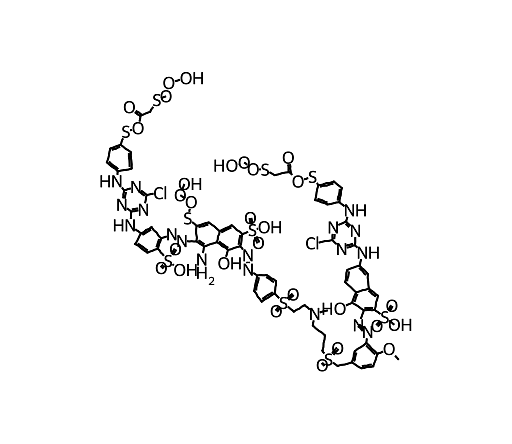 COc1ccc(CS(=O)(=O)CCCN(C)CCS(=O)(=O)c2ccc(N=Nc3c(S(=O)(=O)O)cc4cc(SOOO)c(N=Nc5cc(Nc6nc(Cl)nc(Nc7ccc(SOC(=O)CSOOO)cc7)n6)ccc5S(=O)(=O)O)c(N)c4c3O)cc2)cc1N=Nc1c(S(=O)(=O)O)cc2cc(Nc3nc(Cl)nc(Nc4ccc(SOC(=O)CSOOO)cc4)n3)ccc2c1O